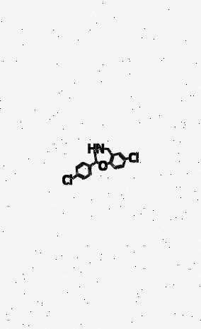 Clc1ccc(C2CNCc3cc(Cl)ccc3O2)cc1